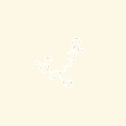 Nc1cc([C@@H](O)CN(CCOc2ccc3c(c2)[nH]c2ccccc23)Cc2ccccc2)ccc1Br